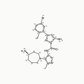 Cn1ncc(NC(=O)c2nc(-c3cc(Br)ccc3F)sc2N)c1N1CCC[C@@H](N)CC1